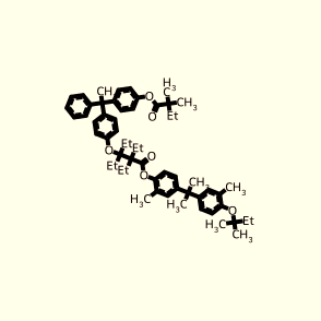 CCC(C)(C)Oc1ccc(C(C)(C)c2ccc(OC(=O)C(CC)(CC)C(CC)(CC)Oc3ccc(C(C)(c4ccccc4)c4ccc(OC(=O)C(C)(C)CC)cc4)cc3)c(C)c2)cc1C